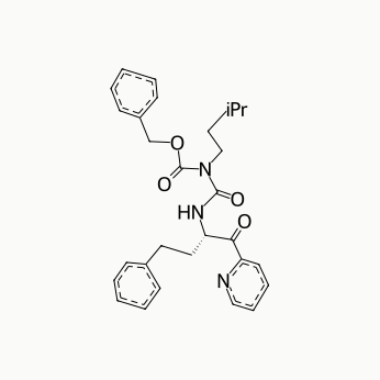 CC(C)CCN(C(=O)N[C@@H](CCc1ccccc1)C(=O)c1ccccn1)C(=O)OCc1ccccc1